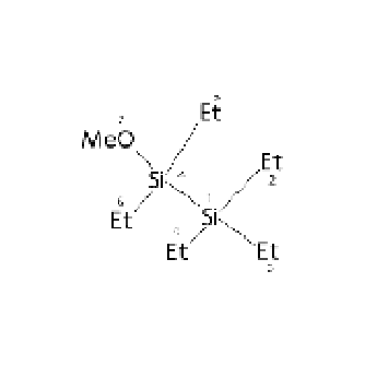 CC[Si](CC)(CC)[Si](CC)(CC)OC